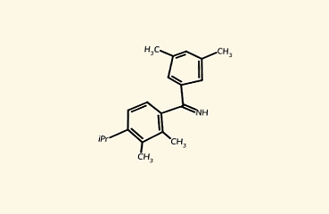 Cc1cc(C)cc(C(=N)c2ccc(C(C)C)c(C)c2C)c1